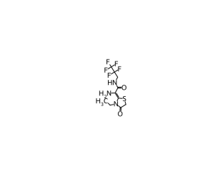 CCN1C(=O)CS/C1=C(/N)C(=O)NCC(F)(F)C(F)(F)F